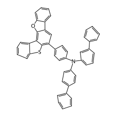 c1ccc(-c2ccc(N(c3ccc(-c4cc5c6ccccc6oc5c5c4sc4ccccc45)cc3)c3cccc(-c4ccccc4)c3)cc2)cc1